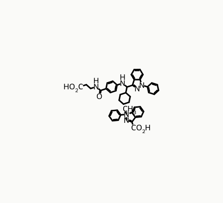 C[N+]1(c2ccccc2)N=C(C(=O)O)c2ccccc21.O=C(O)CCNC(=O)c1ccc(NC(c2nn(-c3ccccc3)c3ccccc23)C2CCCCC2)cc1